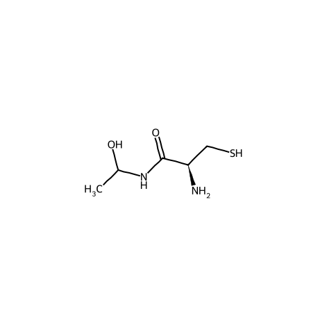 CC(O)NC(=O)[C@H](N)CS